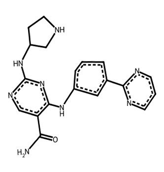 NC(=O)c1cnc(NC2CCNC2)nc1Nc1cccc(-c2ncccn2)c1